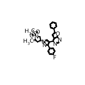 C[C@@H]1C[C@@H](n2cc(-c3ncnc4oc(-c5ccccc5)cc34)c(-c3ccc(F)cc3)n2)CN1S(C)(=O)=O